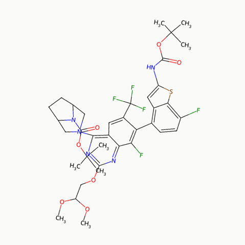 COC(COc1nc(N2CC3CCC(C2)N3C(=O)OC(C)(C)C)c2cc(C(F)(F)F)c(-c3ccc(F)c4sc(NC(=O)OC(C)(C)C)cc34)c(F)c2n1)OC